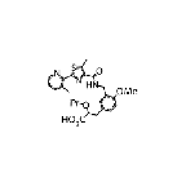 COc1ccc(CC(OC(C)C)C(=O)O)cc1CNC(=O)c1nc(-c2ncccc2C)sc1C